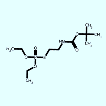 CCOP(=O)(OCC)SCCNC(=O)OC(C)(C)C